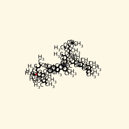 CCC(C)CC(C)C(C)C(O)OC(C(O)O[C@H]1CC[C@@]2(C)C(CC[C@]3(C)C2CC=C2C4CC(C)(C)CC[C@]4(C(=O)OC4OC(C)C(OC(O)C(C)C(OC(C)=O)C(CC)OC(C)=O)C(C)C4OC4OC(C)C(OC5OCC(C)C(OC6OC(CC)C(C)C(C)C6C)C5C)C(C)C4C)C(C)CC23C)[C@]1(C)C=O)C(OC(O)C(C)C(C)C(C)C)C(C)CC(C)=O